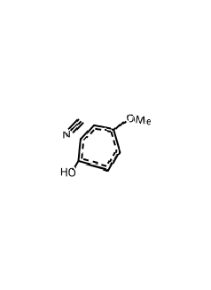 C#N.COc1ccc(O)cc1